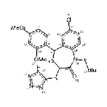 COc1ccc(C2SC(Cc3nnn[nH]3)C(=O)N(CC(C)(C)C)c3ccc(Cl)cc32)c(OC)c1